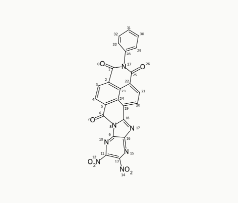 O=C1c2ccc3c(=O)n4c5nc([N+](=O)[O-])c([N+](=O)[O-])nc5nc4c4ccc(c2c34)C(=O)N1c1ccccc1